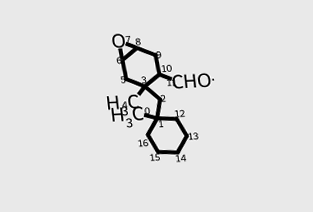 CC1(CC2(C)CC3OC3CC2[C]=O)CCCCC1